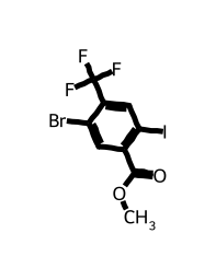 COC(=O)c1cc(Br)c(C(F)(F)F)cc1I